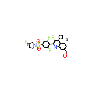 Cc1c(F)c(-c2c(F)cc(S(=O)(=O)N3CC[C@H](F)C3)cc2F)nc2cc(C=O)ccc12